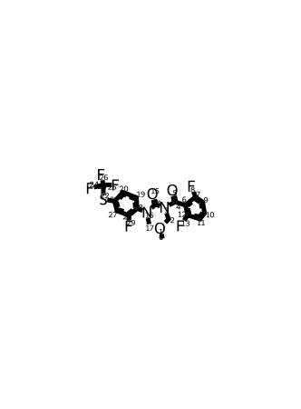 COCN(C(=O)c1c(F)cccc1F)C(=O)N(C)c1ccc(SC(F)(F)F)cc1F